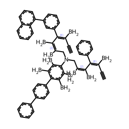 B/C(CN(C/C(B)=C(B)\C(=C(\B)C#C)c1cccc(-c2cccc3ccccc23)c1)c1c(B)c(B)c(-c2ccc(-c3ccccc3)cc2)c(B)c1B)=C(B)/C(=C(/B)C#C)c1ccccc1